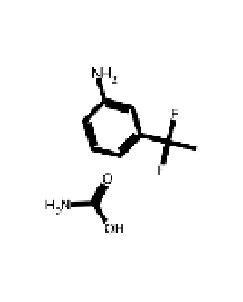 CC(F)(F)c1cccc(N)c1.NC(=O)O